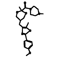 COc1ccc(-c2nc(CC3COC(C)(C(=O)N4CCN(C)CC4)OC3)c(C)o2)cc1